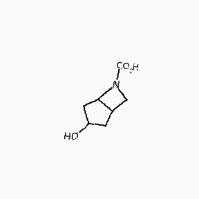 O=C(O)N1CC2CC(O)CC21